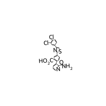 NC(=O)c1ncccc1-c1ccc(-c2nc(-c3ccc(Cl)c(Cl)c3)cs2)cc1C(=O)O